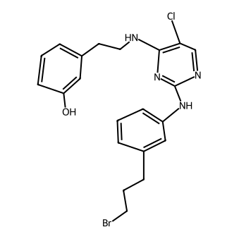 Oc1cccc(CCNc2nc(Nc3cccc(CCCBr)c3)ncc2Cl)c1